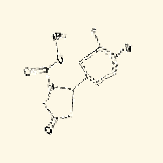 CC(C)(C)OC(=O)N1CC(=O)CC1c1ccc(Br)c(F)c1